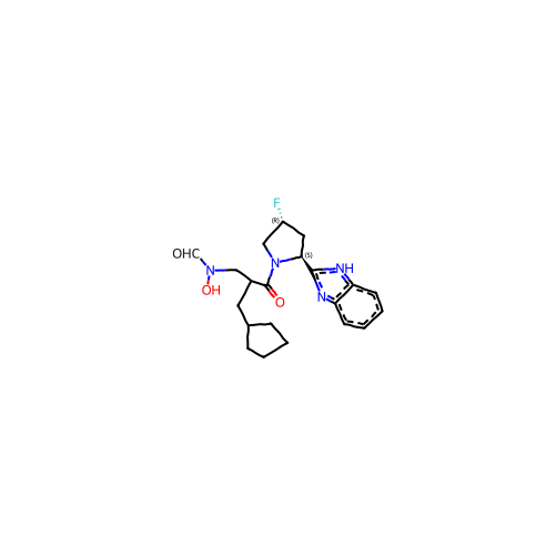 O=CN(O)CC(CC1CCCC1)C(=O)N1C[C@H](F)C[C@H]1c1nc2ccccc2[nH]1